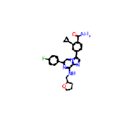 NC(=O)c1ccc(-c2cnc3c(NCC4CCCO4)nc(-c4ccc(F)cc4)cn23)cc1C1CC1